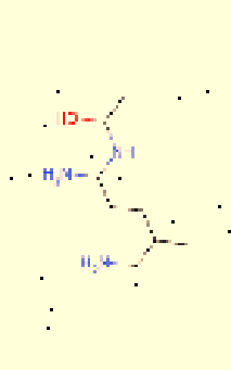 CC(CN)CCC(N)NC(C)O